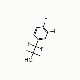 CC(C)(O)C(F)(F)c1ccc(F)c(I)c1